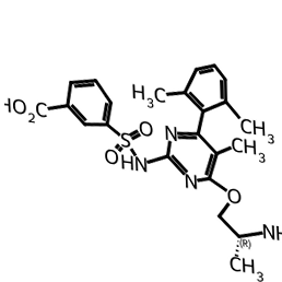 Cc1cccc(C)c1-c1nc(NS(=O)(=O)c2cccc(C(=O)O)c2)nc(OC[C@@H](C)N)c1C